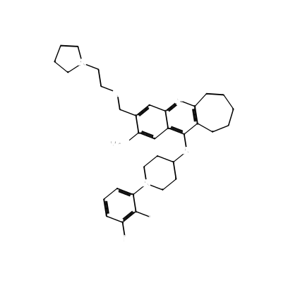 COc1cc2c(NC3CCN(c4cccc(F)c4F)CC3)c3c(nc2cc1COCCN1CCCC1)CCCCC3